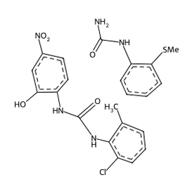 CSc1ccccc1NC(N)=O.Cc1cccc(Cl)c1NC(=O)Nc1ccc([N+](=O)[O-])cc1O